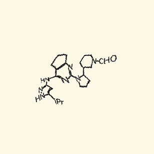 CC(C)c1cc(Nc2nc(N3CCCC3C3CCCN(C=O)C3)nc3c2CCC3)n[nH]1